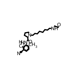 Cc1ccc(C#N)c(C)c1NC(=O)C1CCCN1CCCCCCCCNCC=O